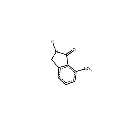 O=C1c2c(cccc2[N+](=O)[O-])CN1Cl